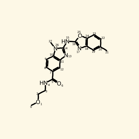 COCCNC(=O)c1ccc2c(c1)nc(Nc1nc3cc(C)ccc3o1)n2C